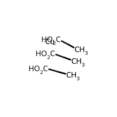 CC(=O)O.CC(=O)O.CC(=O)O.[Cu]